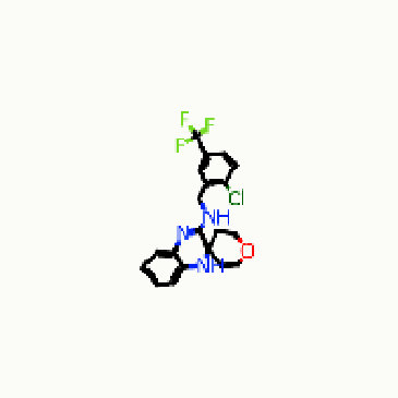 FC(F)(F)c1ccc(Cl)c(CNC2=Nc3ccccc3NC23CCOCC3)c1